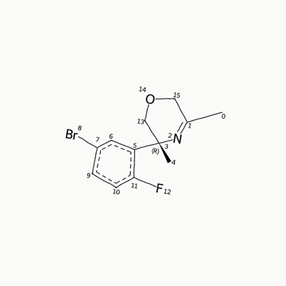 CC1=N[C@](C)(c2cc(Br)ccc2F)COC1